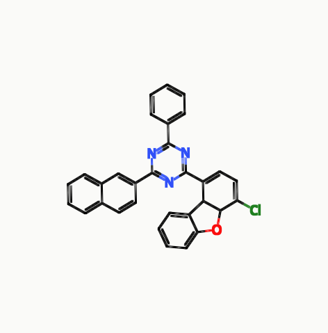 ClC1=CC=C(c2nc(-c3ccccc3)nc(-c3ccc4ccccc4c3)n2)C2c3ccccc3OC12